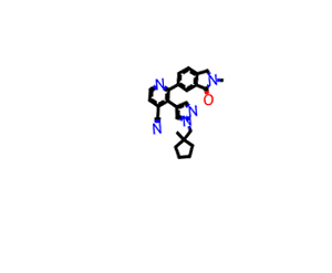 CN1Cc2ccc(-c3nccc(C#N)c3-c3cnn(CC4(C)CCCC4)c3)cc2C1=O